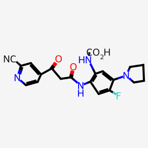 N#Cc1cc(C(=O)CC(=O)Nc2cc(F)c(N3CCCC3)cc2NC(=O)O)ccn1